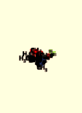 Cc1ccc(-c2c(C(OC(C)(C)C)C(=O)O)c(C)c3c4c2cc(C)n4CCN3CCOCC(F)F)cc1